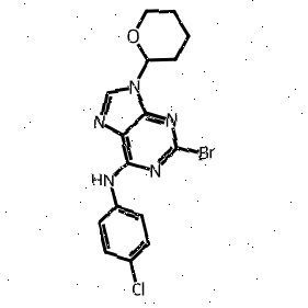 Clc1ccc(Nc2nc(Br)nc3c2ncn3C2CCCCO2)cc1